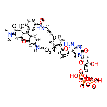 CC(C)C[C@H](OCc1cn([C@H]2C[C@@H](O)[C@@H](COP(=O)(O)OP(=O)(O)OP(=O)(O)O)O2)c(=O)nc1N)c1ccc(C#CCNC(=O)c2ccc(C=O)c(-c3c4ccc(=[N+](C)C)cc-4oc4cc(N(C)C)ccc34)c2)cc1[N+](=O)[O-]